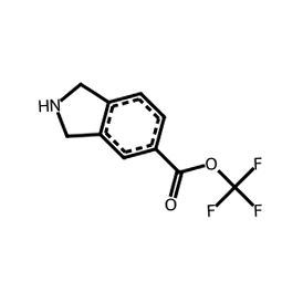 O=C(OC(F)(F)F)c1ccc2c(c1)CNC2